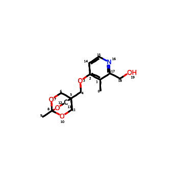 Cc1c(OCC23COC(C)(OC2)OC3)ccnc1CO